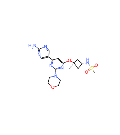 CS(=O)(=O)N[C@H]1C[C@](C)(Oc2cc(-c3cnc(N)nc3)nc(N3CCOCC3)n2)C1